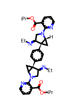 CCN=C1CN(c2ncccc2C(=O)OC(C)C)C2C[C@]12c1ccc([C@]23C[C@H]2N(c2ncccc2C(=O)OC(C)C)CC3=NCC)cc1